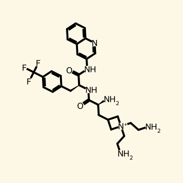 NCC[N+]1(CCN)CC(C[C@H](N)C(=O)N[C@@H](Cc2ccc(C(F)(F)F)cc2)C(=O)Nc2cnc3ccccc3c2)C1